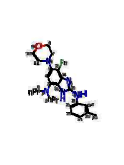 CCCN(CCC)c1cc(N2CCOCC2)c(F)c2nc(Nc3cccc(C)c3)[nH]c12